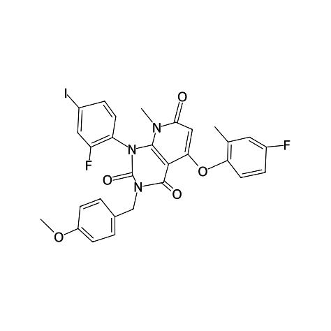 COc1ccc(Cn2c(=O)c3c(Oc4ccc(F)cc4C)cc(=O)n(C)c3n(-c3ccc(I)cc3F)c2=O)cc1